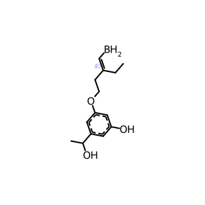 B/C=C(\CC)CCOc1cc(O)cc(C(C)O)c1